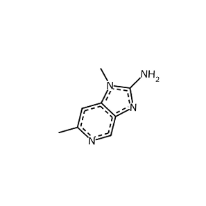 Cc1cc2c(cn1)nc(N)n2C